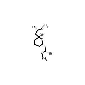 CC[C@@H](C[C@@H]1CCC[C@](O)(C[C@H](CC)OP)O1)OP